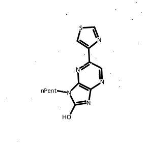 CCCCCn1c(O)nc2ncc(-c3cscn3)nc21